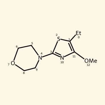 CCc1sc(N2CCOCC2)nc1OC